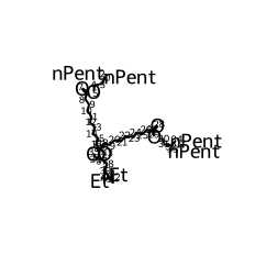 CCCCCC(CCCCC)CCOC(=O)CCCCCCCCCC1(CCCCCCCCCC(=O)OCCC(CCCCC)CCCCC)OCC(CCN(CC)CC)O1